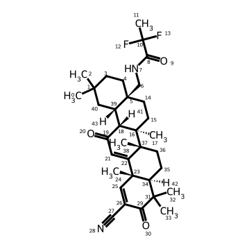 CC1(C)CC[C@]2(CNC(=O)C(C)(F)F)CC[C@]3(C)[C@H](C(=O)C=C4[C@@]5(C)C=C(C#N)C(=O)C(C)(C)[C@@H]5CC[C@]43C)[C@@H]2C1